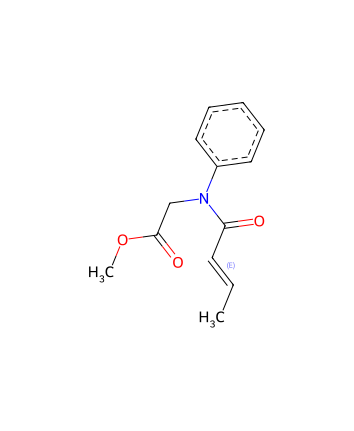 C/C=C/C(=O)N(CC(=O)OC)c1ccccc1